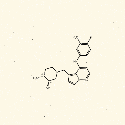 N[C@@H]1CCN(Cc2ccn3ncnc(Nc4ccc(F)c(C(F)(F)F)c4)c23)C[C@H]1O